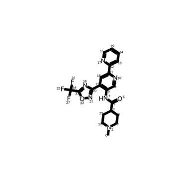 CN1CCC(C(=O)Nc2cnc(-c3ccccn3)cc2-c2noc(C(F)(F)F)n2)CC1